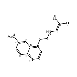 CCC(=CNCCc1ccnc2ccc(OC)cc12)CC